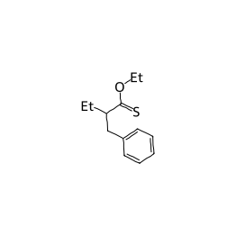 CCOC(=S)C(CC)Cc1ccccc1